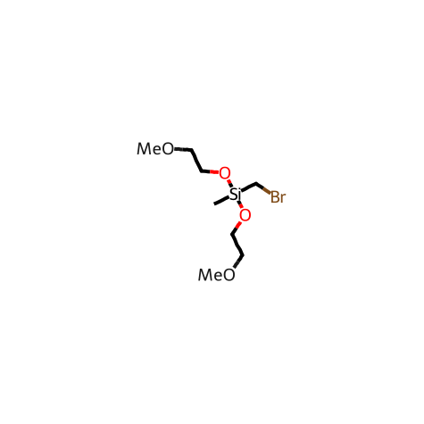 COCCO[Si](C)(CBr)OCCOC